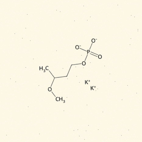 COC(C)CCOP(=O)([O-])[O-].[K+].[K+]